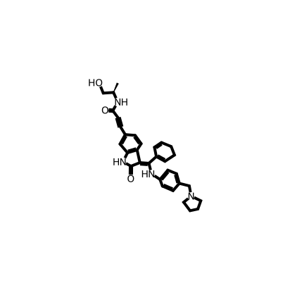 C[C@H](CO)NC(=O)C#Cc1ccc2c(c1)NC(=O)/C2=C(\Nc1ccc(CN2CCCC2)cc1)C1=CCCC=C1